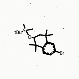 CC1(C)CC(O[Si](C)(C)C(C)(C)C)C(C)(C)c2ccc(Br)cc21